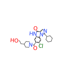 O=C(c1cc2[nH]c(=O)c3cnc(C4CCCCC4)n3c2cc1Cl)N1CCC(CCO)CC1